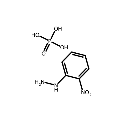 NNc1ccccc1[N+](=O)[O-].O=P(O)(O)O